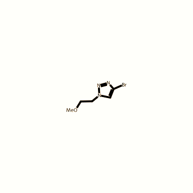 COCCn1cc(Br)nn1